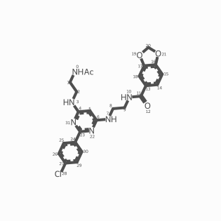 CC(=O)NCCNc1cc(NCCNC(=O)c2ccc3c(c2)OCO3)nc(-c2ccc(Cl)cc2)n1